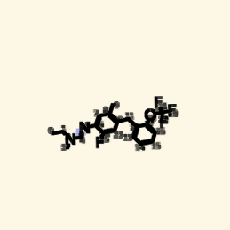 CCN(C)/C=N/c1cc(C)c(Cc2ccccc2OC(F)(F)F)cc1F